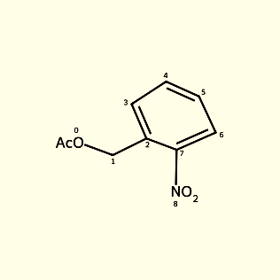 [CH2]C(=O)OCc1ccccc1[N+](=O)[O-]